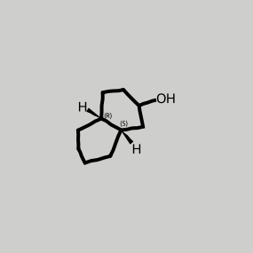 OC1CC[C@H]2CCCC[C@H]2C1